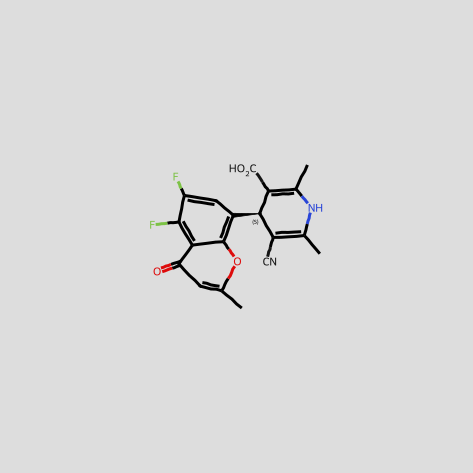 CC1=C(C#N)[C@@H](c2cc(F)c(F)c3c(=O)cc(C)oc23)C(C(=O)O)=C(C)N1